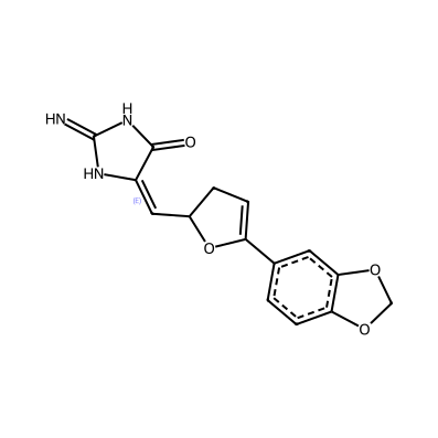 N=C1NC(=O)/C(=C\C2CC=C(c3ccc4c(c3)OCO4)O2)N1